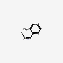 Oc1ccccc1/C=N\I